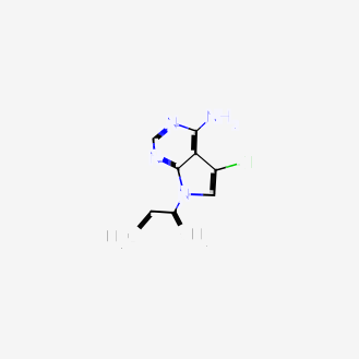 C=CC(=C)n1cc(Cl)c2c(N)ncnc21